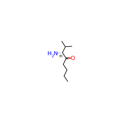 CCCCC(=O)[C@H](N)C(C)C